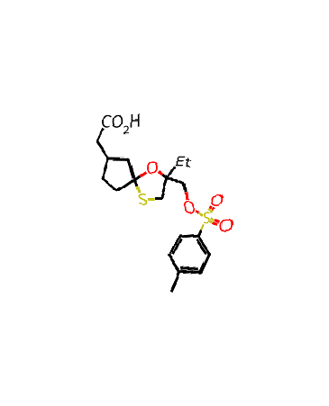 CCC1(COS(=O)(=O)c2ccc(C)cc2)CSC2(CCC(CC(=O)O)C2)O1